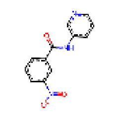 O=C(Nc1cccnc1)c1cccc([N+](=O)[O-])c1